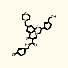 O=C(NCc1ccc(Cl)cc1)c1cn2c3c(cc(CN4CCOCC4)cc3c1=S)OC(c1cccc(CO)c1)C2